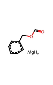 O=COCc1ccccc1.[MgH2]